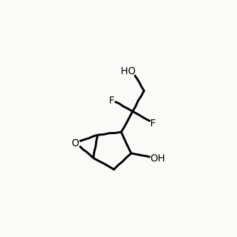 OCC(F)(F)C1C(O)CC2OC21